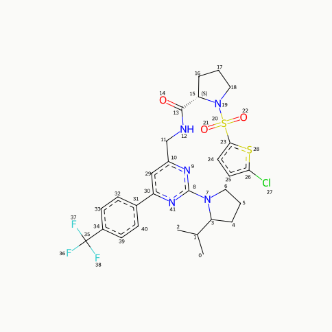 CC(C)C1CCCN1c1nc(CNC(=O)[C@@H]2CCCN2S(=O)(=O)c2ccc(Cl)s2)cc(-c2ccc(C(F)(F)F)cc2)n1